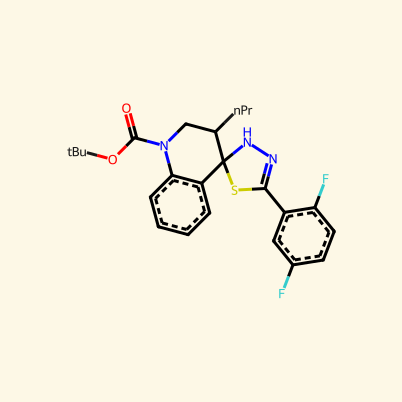 CCCC1CN(C(=O)OC(C)(C)C)c2ccccc2C12NN=C(c1cc(F)ccc1F)S2